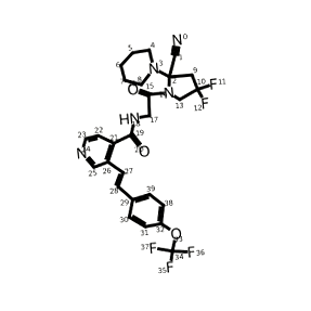 N#CC1(N2CCCCC2)CC(F)(F)CN1C(=O)CNC(=O)c1ccncc1C=Cc1ccc(OC(F)(F)F)cc1